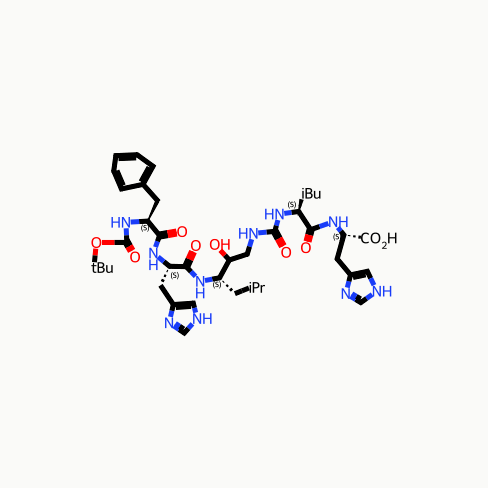 CCC(C)[C@H](NC(=O)NCC(O)[C@H](CC(C)C)NC(=O)[C@H](Cc1c[nH]cn1)NC(=O)[C@H](Cc1ccccc1)NC(=O)OC(C)(C)C)C(=O)N[C@@H](Cc1c[nH]cn1)C(=O)O